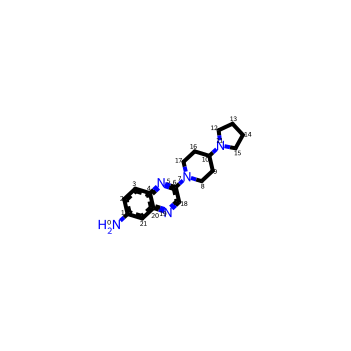 Nc1ccc2nc(N3CCC(N4CCCC4)CC3)cnc2c1